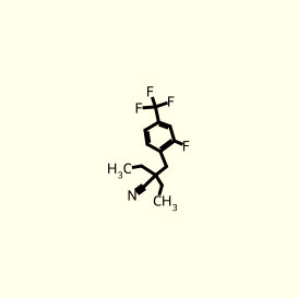 CCC(C#N)(CC)Cc1ccc(C(F)(F)F)cc1F